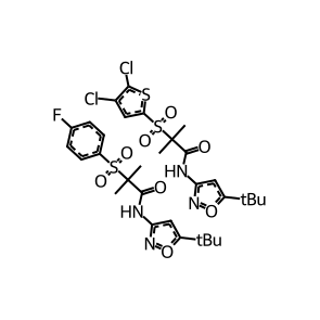 CC(C)(C)c1cc(NC(=O)C(C)(C)S(=O)(=O)c2cc(Cl)c(Cl)s2)no1.CC(C)(C)c1cc(NC(=O)C(C)(C)S(=O)(=O)c2ccc(F)cc2)no1